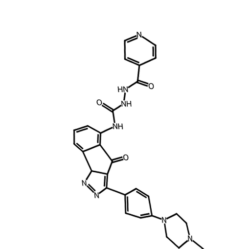 CN1CCN(c2ccc(C3=C4C(=O)c5c(NC(=O)NNC(=O)c6ccncc6)cccc5C4N=N3)cc2)CC1